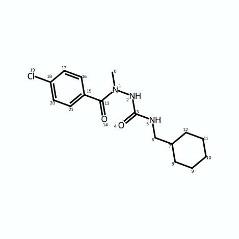 CN(NC(=O)NCC1CCCCC1)C(=O)c1ccc(Cl)cc1